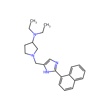 CCN(CC)C1CCN(Cc2cnc(-c3cccc4ccccc34)[nH]2)C1